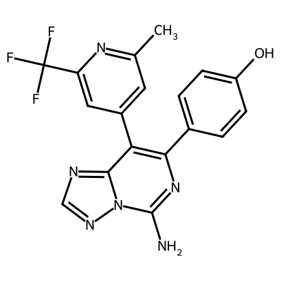 Cc1cc(-c2c(-c3ccc(O)cc3)nc(N)n3ncnc23)cc(C(F)(F)F)n1